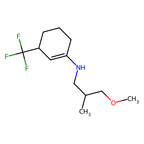 COCC(C)CNC1=CC(C(F)(F)F)CCC1